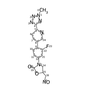 Cn1nnc(-c2ccc(-c3ccc(N4CC(CN=O)OC4=O)cc3F)cn2)n1